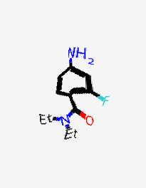 CCN(CC)C(=O)c1ccc(N)cc1F